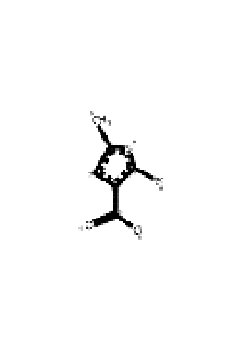 Cc1cc(C(=O)Cl)c(Br)s1